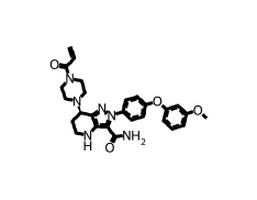 C=CC(=O)N1CCN([C@@H]2CCNc3c2nn(-c2ccc(Oc4cccc(OC)c4)cc2)c3C(N)=O)CC1